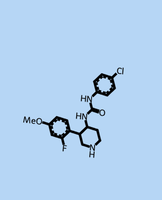 COc1ccc(C2CNCCC2NC(=O)Nc2ccc(Cl)cc2)c(F)c1